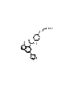 COCCO[C@H]1CC[C@H](NC(=O)c2cc(-n3cncn3)cc3cc[nH]c23)CC1